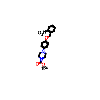 CC(C)(C)OC(=O)N1CCN(c2ccc(OCc3ccccc3[N+](=O)[O-])cc2)CC1